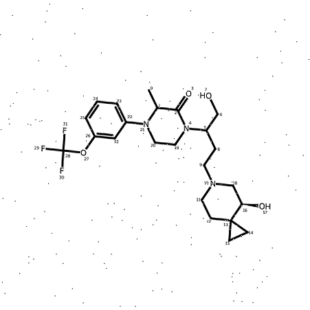 CC1C(=O)N(C(CO)CCN2CCC3(CC3)[C@H](O)C2)CCN1c1cccc(OC(F)(F)F)c1